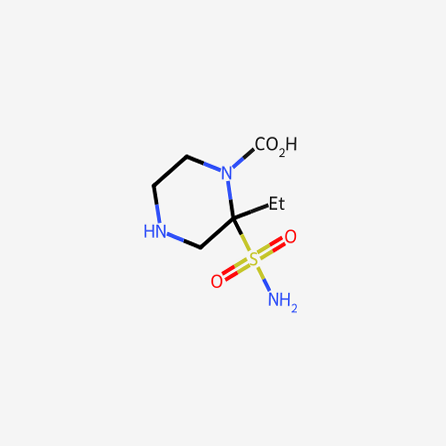 CCC1(S(N)(=O)=O)CNCCN1C(=O)O